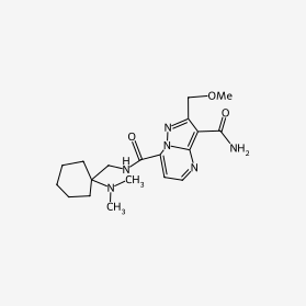 COCc1nn2c(C(=O)NCC3(N(C)C)CCCCC3)ccnc2c1C(N)=O